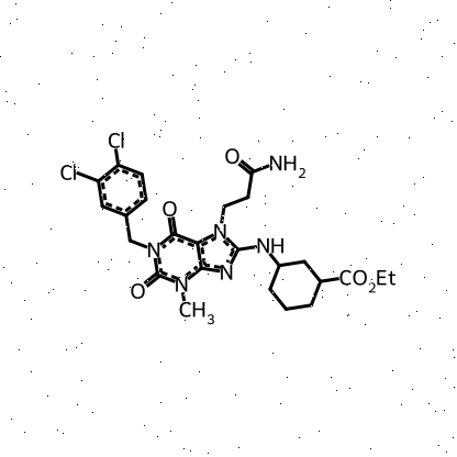 CCOC(=O)C1CCCC(Nc2nc3c(c(=O)n(Cc4ccc(Cl)c(Cl)c4)c(=O)n3C)n2CCC(N)=O)C1